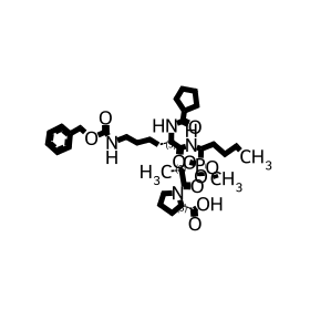 CCCCC(NC(=O)[C@H](CCCCNC(=O)OCc1ccccc1)NC(=O)C1CCCC1)P(=O)(OC)O[C@@H](C)C(=O)N1CCC[C@H]1C(=O)O